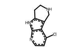 Clc1ccnc2[nH]c3c(c12)CNCC3